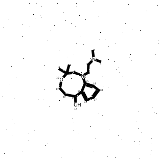 CN(C)CCN1CC(C)(C)OCCC(O)c2ccccc21